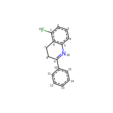 Fc1cccc2c1CCC(c1ccccc1)=N2